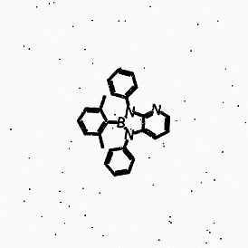 Cc1cccc(C)c1B1N(c2ccccc2)c2cccnc2N1c1ccccc1